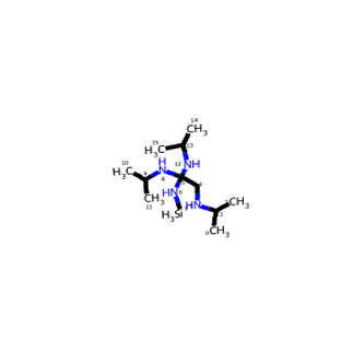 CC(C)NCC(N[SiH3])(NC(C)C)NC(C)C